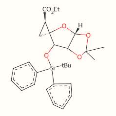 CCOC(=O)[C@@H]1C[C@@]12O[C@@H]1OC(C)(C)OC1C2O[Si](c1ccccc1)(c1ccccc1)C(C)(C)C